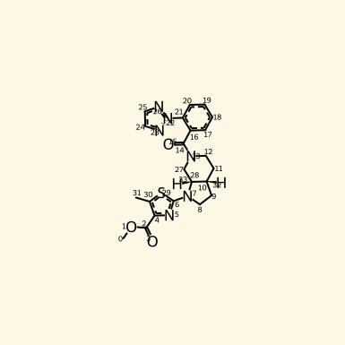 COC(=O)c1nc(N2CC[C@H]3CCN(C(=O)c4ccccc4-n4nccn4)C[C@H]32)sc1C